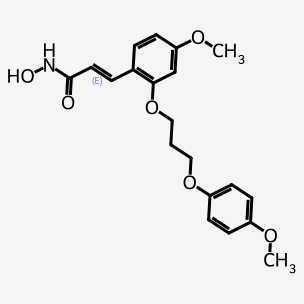 COc1ccc(OCCCOc2cc(OC)ccc2/C=C/C(=O)NO)cc1